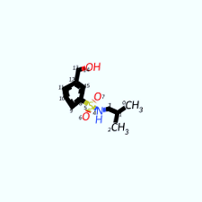 CC(C)CNS(=O)(=O)c1cccc(CO)c1